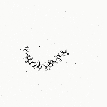 C=C(Br)C(=O)Nc1c[nH]c(C(=O)Nc2c[nH]c(C(=O)Nc3c[nH]c(C(=O)Nc4c[nH]c(C(=O)NCCC(N)=O)c4C)c3C)c2C)c1C